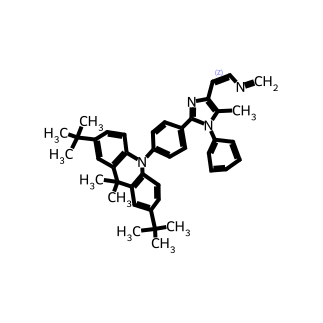 C=N/C=C\c1nc(-c2ccc(N3c4ccc(C(C)(C)C)cc4C(C)(C)c4cc(C(C)(C)C)ccc43)cc2)n(-c2ccccc2)c1C